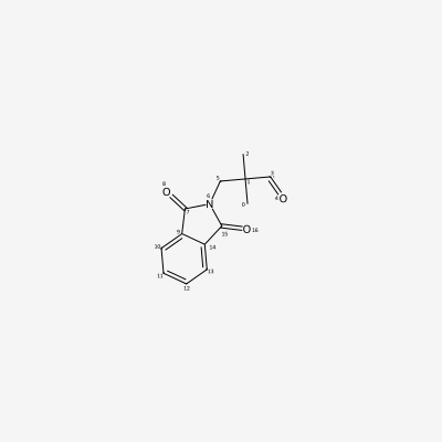 CC(C)([C]=O)CN1C(=O)c2ccccc2C1=O